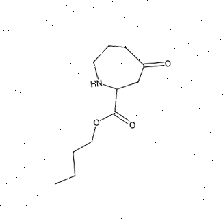 CCCCOC(=O)C1CC(=O)CCCN1